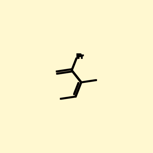 C=C(/C(C)=C\C)C(C)C